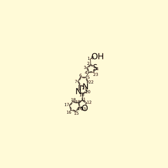 OCc1cc(-c2ccc3nc(-c4coc5ccccc45)cn3c2)cs1